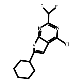 FC(F)c1nc(Cl)c2cc(C3CCCCC3)sc2n1